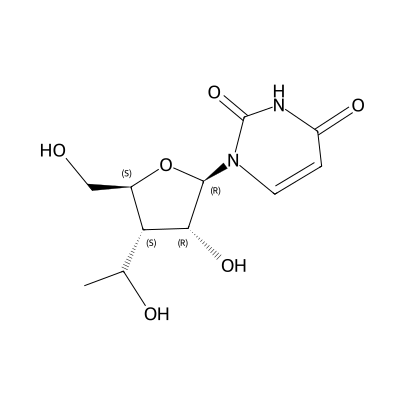 CC(O)[C@H]1[C@@H](O)[C@H](n2ccc(=O)[nH]c2=O)O[C@@H]1CO